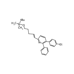 CCc1ccc(-c2ccc(C=CCCCO[Si](C)(C)C(C)(C)C)nc2-c2ccccc2)cc1